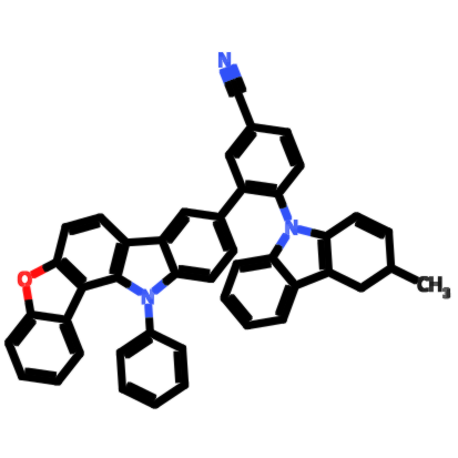 CC1C=Cc2c(c3ccccc3n2-c2ccc(C#N)cc2-c2ccc3c(c2)c2ccc4oc5ccccc5c4c2n3-c2ccccc2)C1